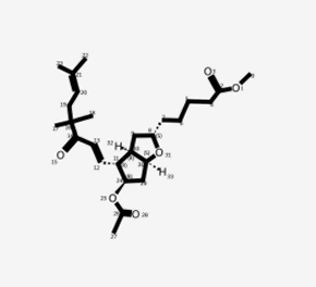 COC(=O)CCCC[C@H]1C[C@@H]2[C@@H](C=CC(=O)C(C)(C)CC=C(C)C)[C@H](OC(C)=O)C[C@@H]2O1